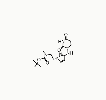 CN(CCn1ccc(N[C@H]2CCC(=O)NC2=O)n1)C(=O)OC(C)(C)C